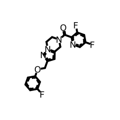 O=C(c1ncc(F)cc1F)N1CCn2nc(COc3cccc(F)c3)cc2C1